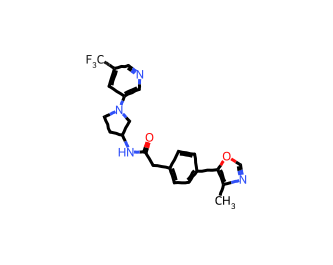 Cc1ncoc1-c1ccc(CC(=O)NC2CCN(c3cncc(C(F)(F)F)c3)C2)cc1